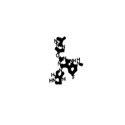 CNc1cc(F)cc2c1[nH]c1nc(Oc3cnc4c(C)cnn4c3)nc(N3C[C@H]4CCN[C@H]4C3)c12